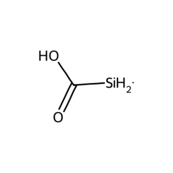 O=C(O)[SiH2]